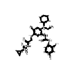 CC(C)CN(c1cc(F)c(OCC(=O)NS(=O)(=O)C2CC2)cc1NC(=O)Nc1ccc(Cl)cc1F)C1CCCCC1